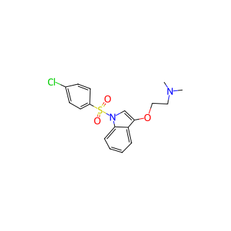 CN(C)CCOc1cn(S(=O)(=O)c2ccc(Cl)cc2)c2ccccc12